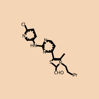 CC1=C(c2ccnc(Nc3ccc(Cl)nc3)n2)SC(C=O)N1CCC(C)C